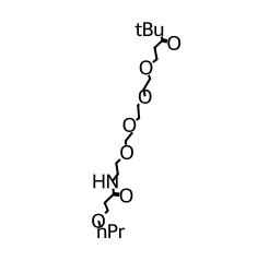 CCCOCCC(=O)NCCOCCOCCOCCOCCC(=O)C(C)(C)C